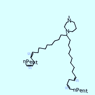 CCCCC/C=C\C/C=C\CCCCCCCCC(CCCCCCCC/C=C\C/C=C\CCCCC)N1CCCN(C)CC1